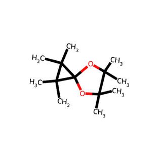 CC1(C)OC2(OC1(C)C)C(C)(C)C2(C)C